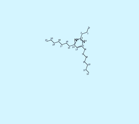 [CH2]CCc1nc(CCCCCCC)cc(CCCCCCC)n1